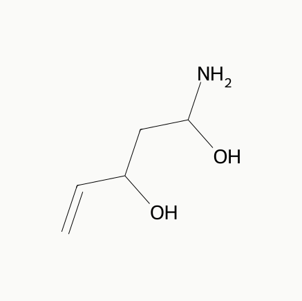 C=CC(O)CC(N)O